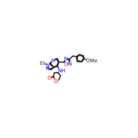 CCn1ncc2c(NC3CCOC(=O)C3)c(-c3nc(Cc4ccc(OC)cc4)no3)cnc21